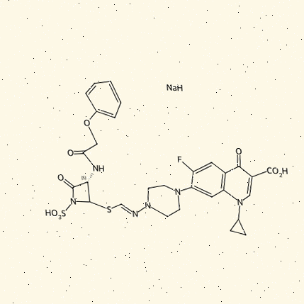 O=C(COc1ccccc1)N[C@H]1C(=O)N(S(=O)(=O)O)C1SC=NN1CCN(c2cc3c(cc2F)c(=O)c(C(=O)O)cn3C2CC2)CC1.[NaH]